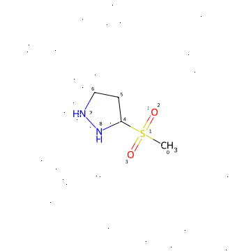 CS(=O)(=O)C1CCNN1